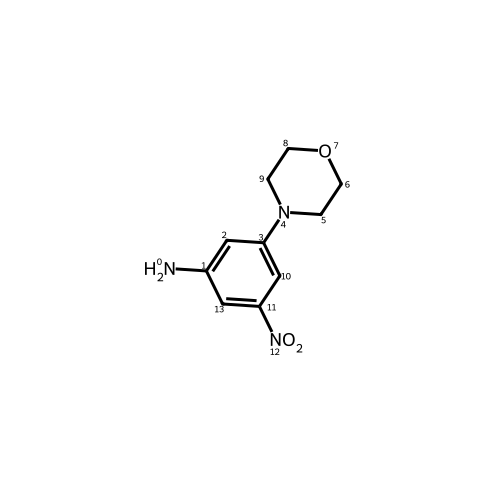 Nc1cc(N2CCOCC2)cc([N+](=O)[O-])c1